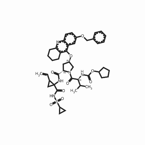 C=CC1CC1(NC(=O)[C@@H]1C[C@@H](Oc2c3c(nc4ccc(OCc5ccccc5)cc24)CCCC3)CN1C(=O)[C@@H](NC(=O)OC1CCCC1)C(C)C)C(=O)NS(=O)(=O)C1CC1